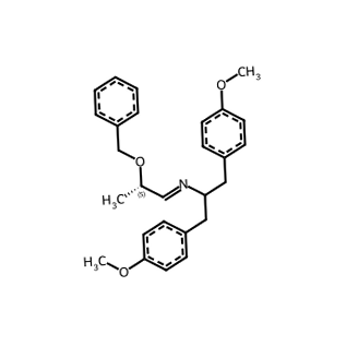 COc1ccc(CC(Cc2ccc(OC)cc2)N=C[C@H](C)OCc2ccccc2)cc1